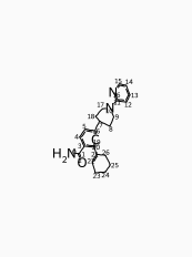 NC(=O)c1ccc(C2CCN(c3ccccn3)CC2)cc1C1=CCCCC1